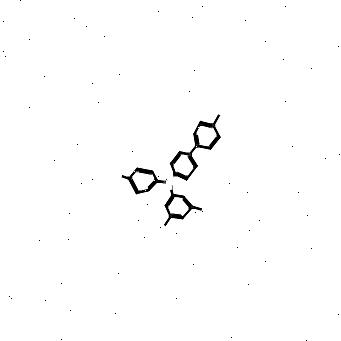 Cc1ccc(-c2ccc(N(c3ccc(C)cc3)c3cc(C)cc(C)c3)cc2)cc1